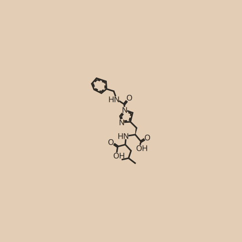 CC(C)CC(N[C@@H](Cc1cn(C(=O)NCc2ccccc2)cn1)C(=O)O)C(=O)O